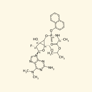 CC(C)OC(=O)[C@@H](C)N[P@@](=S)(Oc1cccc2ccccc12)OC1[C@@]2(CCl)O[C@@H](n3cnc4c(N(C)C)nc(N)nc43)[C@H](F)[C@@]12O